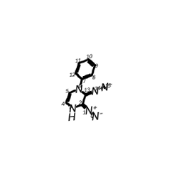 [N-]=[N+]=c1[nH]ccn(-c2ccccc2)c1=[N+]=[N-]